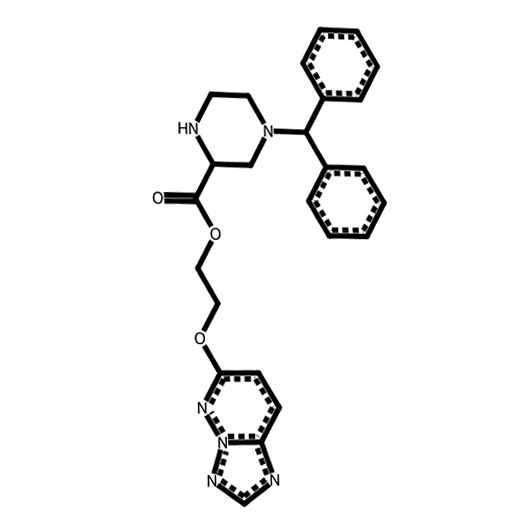 O=C(OCCOc1ccc2ncnn2n1)C1CN(C(c2ccccc2)c2ccccc2)CCN1